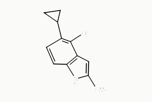 COc1cc2c(Cl)c(C3CC3)ccc2[nH]1